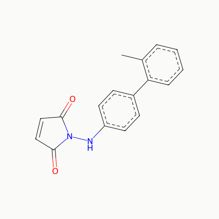 Cc1ccccc1-c1ccc(NN2C(=O)C=CC2=O)cc1